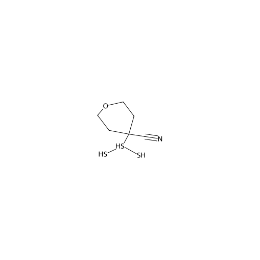 N#CC1([SH](S)S)CCOCC1